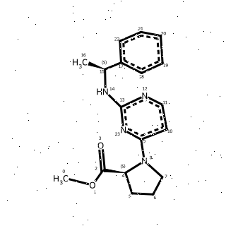 COC(=O)[C@@H]1CCCN1c1ccnc(N[C@@H](C)c2ccccc2)n1